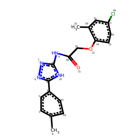 Cc1ccc(-c2nnc(NC(=O)COc3ccc(Cl)cc3C)[nH]2)cc1